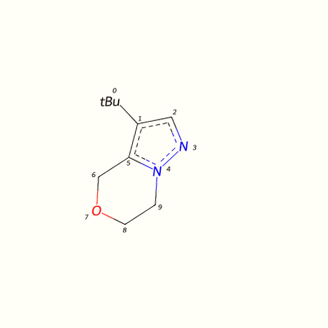 CC(C)(C)c1cnn2c1COCC2